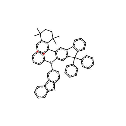 CC1(C)CCC(C)(C)c2c(-c3cc4c(cc3N(c3ccccc3)c3ccc5sc6ccccc6c5c3)C(c3ccccc3)(c3ccccc3)c3ccccc3-4)cccc21